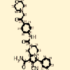 N#Cc1c(C(N)=O)c2n(c1-c1ccccc1)CCN(C(=O)Nc1ccc(C(=O)CN3CCOCC3)cc1)C2